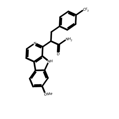 COc1ccc2c(c1)[nH]c1c(C(Cc3ccc(C(F)(F)F)cc3)C(N)=O)nccc12